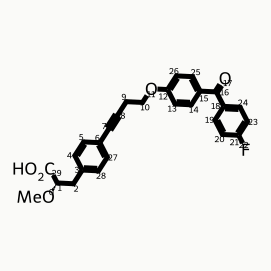 CO[C@@H](Cc1ccc(C#CCCOc2ccc(C(=O)c3ccc(F)cc3)cc2)cc1)C(=O)O